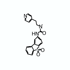 CN(CCc1ccncc1)C(=O)Nc1ccc2c(c1)-c1ccccc1S2(=O)=O